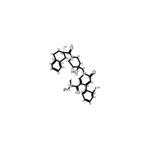 CC(C)N(C)C(=O)c1cn(CC2(O)CCN(C(=O)[C@]3(C)CCc4ccccc4C3)CC2)c(=O)cc1-c1ccccc1F